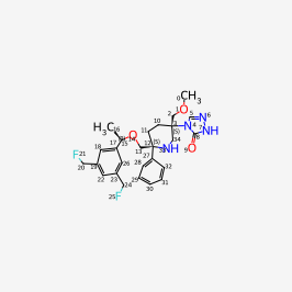 COC[C@]1(n2cn[nH]c2=O)CC[C@@](CO[C@H](C)c2cc(CF)cc(CF)c2)(c2ccccc2)NC1